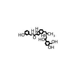 C[C@H](Cc1ccc2[nH]c(C(=O)NCc3cccc(O)c3)cc2c1)NC[C@H](O)c1ccc(O)c(CO)c1